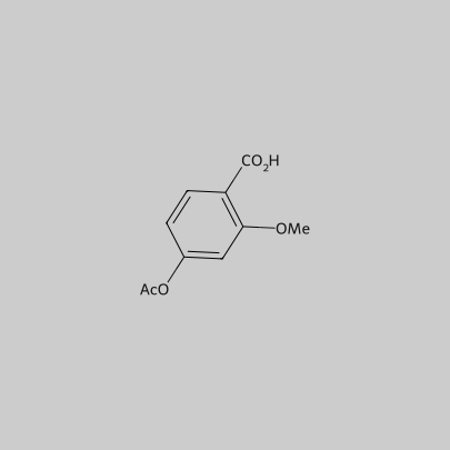 COc1cc(OC(C)=O)ccc1C(=O)O